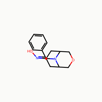 ON=C1CC2COCC(C1)N2Cc1ccccc1